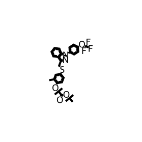 Cc1cc(SCc2nn(-c3ccc(OC(F)(F)F)cc3)c3ccccc23)ccc1OC(C)(C)C(=O)OC(C)(C)C